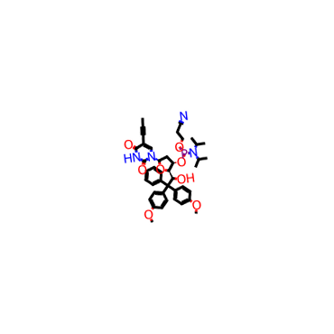 CC#Cc1cn([C@H]2C[C@H](OP(OCCC#N)N(C(C)C)C(C)C)[C@@H](C(O)C(c3ccccc3)(c3ccc(OC)cc3)c3ccc(OC)cc3)O2)c(=O)[nH]c1=O